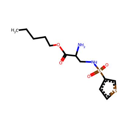 CCCCCOC(=O)C(N)CNS(=O)(=O)c1ccsc1